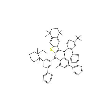 Cc1cc(-c2ccccc2)cc(C)c1B(c1cc(-c2ccccc2)cc2c1CCC1(C)CCCCC21C)c1sc2cc3c(cc2c1Cc1ccc(C(C)(C)C)cc1-c1ccccc1)C(C)(C)CCC3(C)C